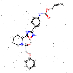 C=CCOC(=O)Nc1ccc(-c2noc(C3CCCCN3C(=O)COc3ccccc3)n2)cc1